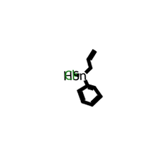 C=C[CH2][SnH]([Cl])[c]1ccccc1